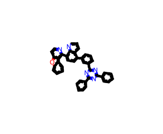 c1ccc(-c2nc(-c3ccccc3)nc(-c3cccc(-c4ccc(-c5nccc6oc7ccccc7c56)c5ncccc45)c3)n2)cc1